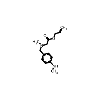 C=CCOC(=O)CN(C)Cc1ccc(NC)cc1